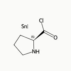 O=C(Cl)[C@@H]1CCCN1.[Sn]